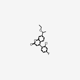 CCOC(C)c1ccc2c(-c3ccc(F)cc3Cl)cc(=O)oc2c1